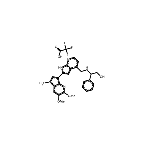 COc1cc2c(nc1OC)c(-c1cc3c(CNC(CO)c4ccccc4)ccnc3[nH]1)cn2C.O=C(O)C(F)(F)F